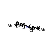 COC(=O)CCc1cc(Cl)c(OCC/C=C/CCOc2ccc(Nc3ccccc3C(=O)OC)cc2Cl)c(Cl)c1